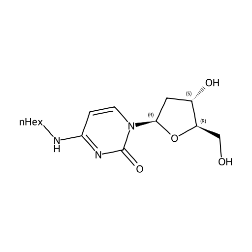 CCCCCCNc1ccn([C@H]2C[C@H](O)[C@@H](CO)O2)c(=O)n1